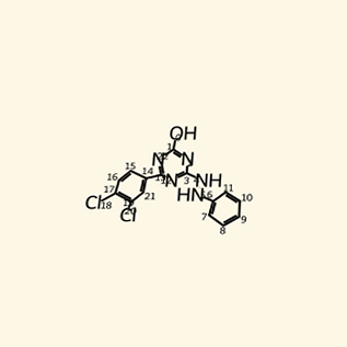 Oc1nc(NNc2ccccc2)nc(-c2ccc(Cl)c(Cl)c2)n1